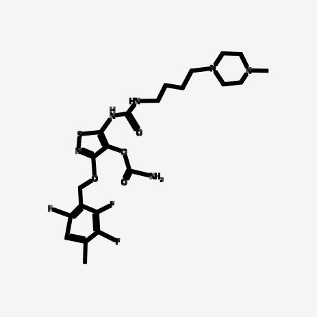 Cc1cc(F)c(COc2nsc(NC(=O)NCCCCN3CCN(C)CC3)c2OC(N)=O)c(F)c1F